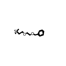 C[Si](C)(C)CCO[CH]COCc1ccccc1